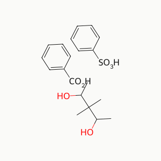 CC(O)C(C)(C)C(C)O.O=C(O)c1ccccc1.O=S(=O)(O)c1ccccc1